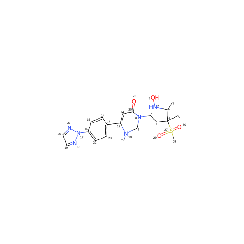 CC(NO)C(C)(CCN1CN(C)C(c2ccc(-n3nccn3)cc2)=CC1=O)S(C)(=O)=O